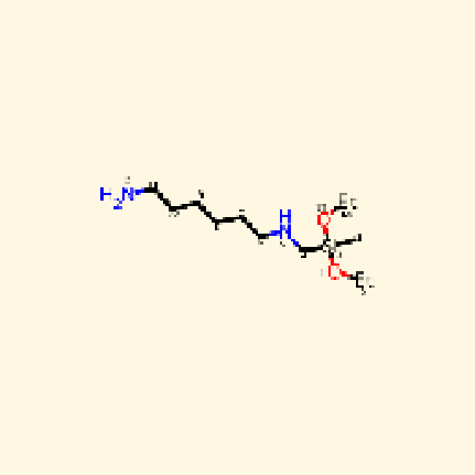 CCO[Si](C)(CNCCCCCCN)OCC